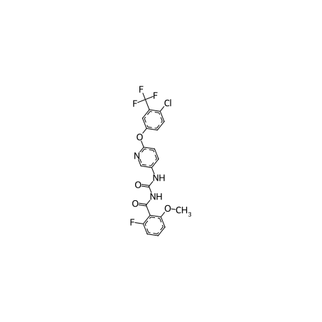 COc1cccc(F)c1C(=O)NC(=O)Nc1ccc(Oc2ccc(Cl)c(C(F)(F)F)c2)nc1